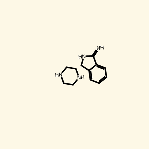 C1CNCCN1.N=C1NCc2ccccc21